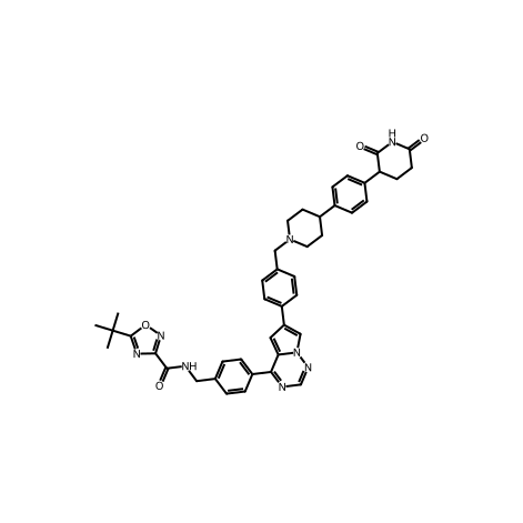 CC(C)(C)c1nc(C(=O)NCc2ccc(-c3ncnn4cc(-c5ccc(CN6CCC(c7ccc(C8CCC(=O)NC8=O)cc7)CC6)cc5)cc34)cc2)no1